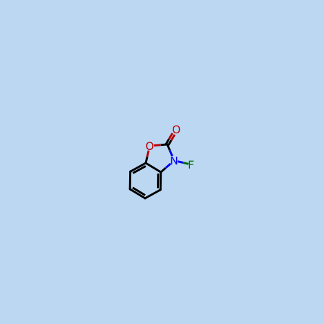 O=c1oc2ccccc2n1F